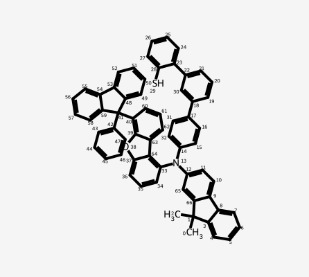 CC1(C)c2ccccc2-c2ccc(N(c3ccc(-c4cccc(-c5ccccc5S)c4)cc3)c3cccc4oc5c(C6(c7ccccc7)c7ccccc7-c7ccccc76)cccc5c34)cc21